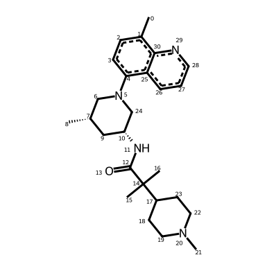 Cc1ccc(N2C[C@@H](C)C[C@@H](NC(=O)C(C)(C)C3CCN(C)CC3)C2)c2cccnc12